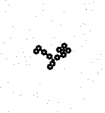 c1ccc(C2(c3ccccc3)c3ccccc3-c3c(-c4ccc(N(c5ccc(-c6ccc(-c7cccc8ccccc78)cc6)cc5)c5ccc6ccccc6c5)cc4)cccc32)cc1